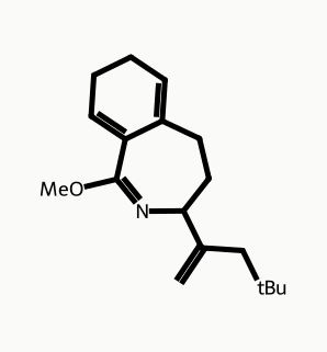 C=C(CC(C)(C)C)C1CCC2=CCCC=C2C(OC)=N1